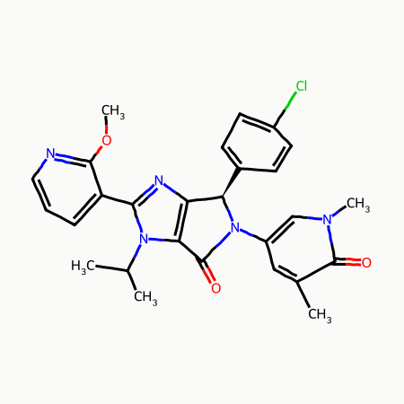 COc1ncccc1-c1nc2c(n1C(C)C)C(=O)N(c1cc(C)c(=O)n(C)c1)[C@@H]2c1ccc(Cl)cc1